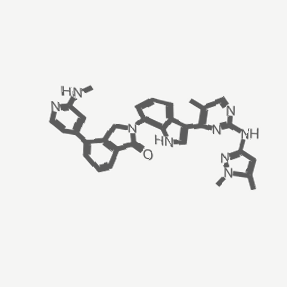 CNc1cc(-c2cccc3c2CN(c2cccc4c(-c5nc(Nc6cc(C)n(C)n6)ncc5C)c[nH]c24)C3=O)ccn1